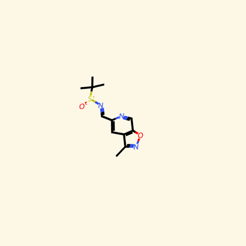 Cc1noc2cnc(/C=N/[S@+]([O-])C(C)(C)C)cc12